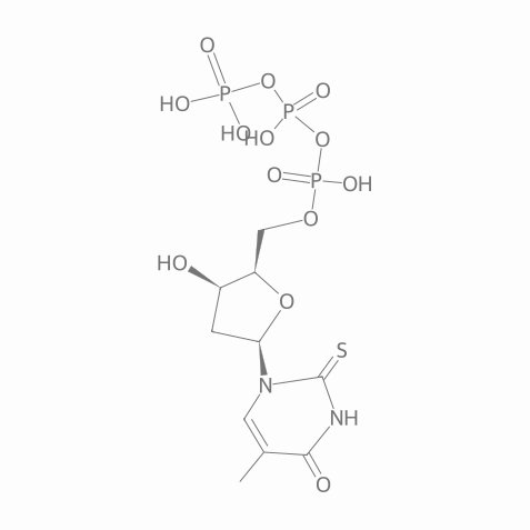 Cc1cn([C@H]2C[C@@H](O)[C@@H](COP(=O)(O)OP(=O)(O)OP(=O)(O)O)O2)c(=S)[nH]c1=O